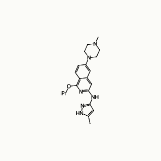 Cc1cc(Nc2cc3cc(N4CCN(C)CC4)ccc3c(OC(C)C)n2)n[nH]1